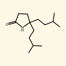 CC(C)CCC1(CCC(C)C)CCC(=O)N1